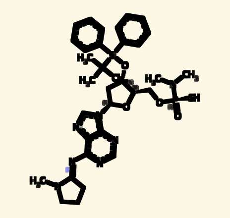 CN1CCC/C1=N\c1ncnc2c1ncn2[C@H]1C[C@H](O[Si](c2ccccc2)(c2ccccc2)C(C)(C)C)[C@@H](CO[P@](=O)(S)N(C)C)O1